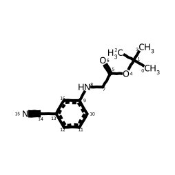 CC(C)(C)OC(=O)CNc1cccc(C#N)c1